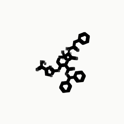 NC(=O)c1csc(SC2=C(C(=O)OC(c3ccccc3)c3ccccc3)N3C(=O)[C@@H](NC(=O)Cc4ccccc4)[C@H]3SC2)n1